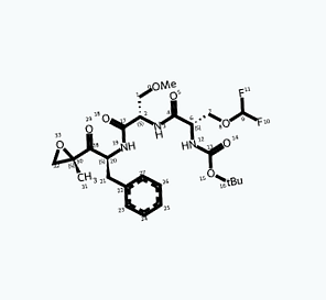 COC[C@H](NC(=O)[C@H](COC(F)F)NC(=O)OC(C)(C)C)C(=O)N[C@@H](Cc1ccccc1)C(=O)[C@]1(C)CO1